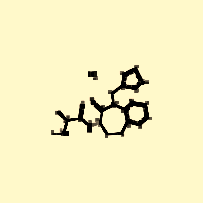 CN[C@@H](C)C(=O)N[C@H]1CCc2ccccc2N(Cc2ccsc2)C1=O.Cl